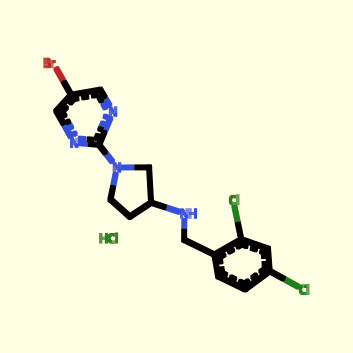 Cl.Clc1ccc(CNC2CCN(c3ncc(Br)cn3)C2)c(Cl)c1